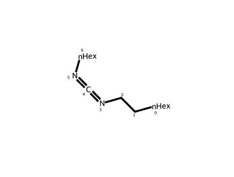 CCCCCCCCN=C=NCCCCCC